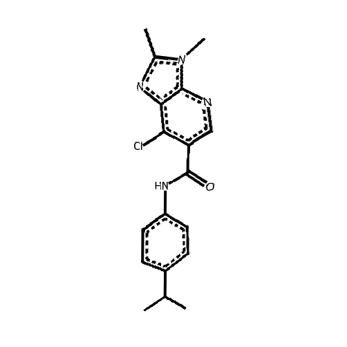 Cc1nc2c(Cl)c(C(=O)Nc3ccc(C(C)C)cc3)cnc2n1C